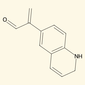 C=C(C=O)c1ccc2c(c1)C=CCN2